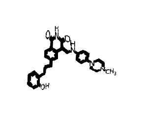 CN1CCN(c2ccc(N/C=C3\C(=O)NC(=O)c4ccc(/C=C/Cc5ccccc5O)cc43)cc2)CC1